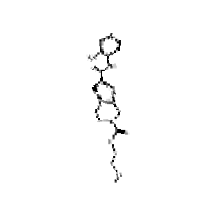 COCCNC(=O)N1CCc2cc(C(=O)Nc3ccccc3N)sc2C1